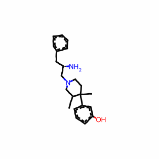 CC1CN(C[C@H](N)Cc2ccccc2)CCC1(C)c1cccc(O)c1